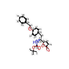 CC(C)(C)OC(=O)N[C@@H](Cc1ccc(OCc2ccccc2)cc1)C1C=CC(=O)O1